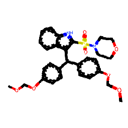 COCOc1ccc(C(c2ccc(OCOC)cc2)c2c(S(=O)(=O)N3CCOCC3)[nH]c3ccccc23)cc1